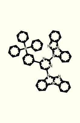 c1ccc(S(c2ccccc2)(c2ccccc2)c2cccc(-c3cc(-n4c5ccccc5n5c6ccccc6nc45)nc(-n4c5ccccc5n5c6ccccc6nc45)n3)c2)cc1